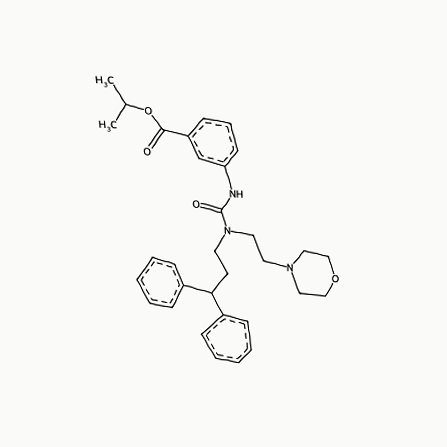 CC(C)OC(=O)c1cccc(NC(=O)N(CCC(c2ccccc2)c2ccccc2)CCN2CCOCC2)c1